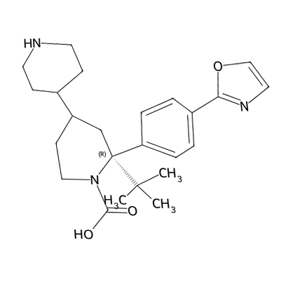 CC(C)(C)[C@@]1(c2ccc(-c3ncco3)cc2)CC(C2CCNCC2)CCN1C(=O)O